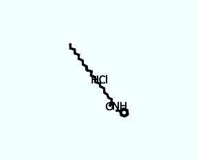 CCCCCCCCC=CCCCCCCCCCCCC(=O)NCc1ccccc1.Cl